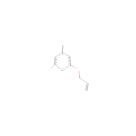 C=CCOc1cc(N)cc(N)c1